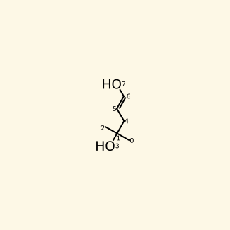 CC(C)(O)CC=CO